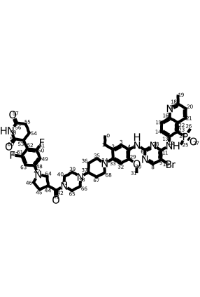 CCc1cc(Nc2ncc(Br)c(Nc3ccc4nc(C)ccc4c3P(C)(C)=O)n2)c(OC)cc1N1CCC(N2CCN(C(=O)C3CCN(c4cc(F)c(C5CCC(=O)NC5=O)c(F)c4)C3)CC2)CC1